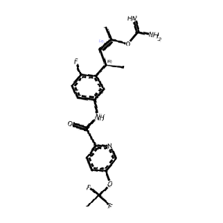 C/C(=C/[C@@H](C)c1cc(NC(=O)c2ccc(OC(C)(F)F)cn2)ccc1F)OC(=N)N